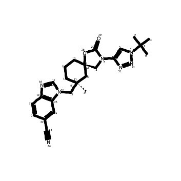 CC(C)(C)n1cc(N2C[C@@]3(CCC[C@](C)(Cn4cnc5ccc(C#N)cc54)C3)OC2=O)nn1